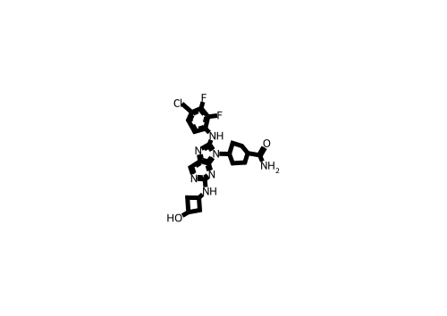 NC(=O)C1CCC(n2c(Nc3ccc(Cl)c(F)c3F)nc3cnc(NC4CC(O)C4)nc32)CC1